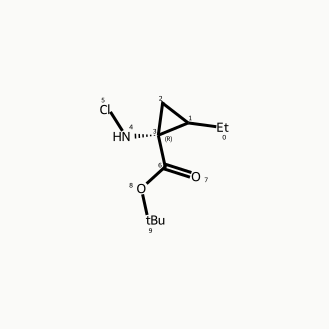 CCC1C[C@]1(NCl)C(=O)OC(C)(C)C